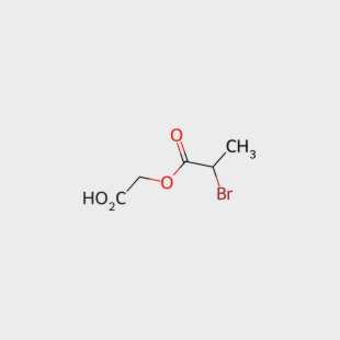 CC(Br)C(=O)OCC(=O)O